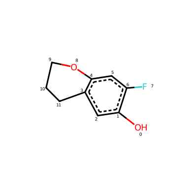 Oc1cc2c(cc1F)OCCC2